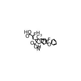 CC1(C)[C@H](C=C(F)C(=O)O)[C@@]1(C(=O)O)[C@@H](C#N)c1ccc(F)c(Oc2ccccc2)c1